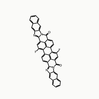 O=c1c2cc(F)c3c4ccc5c(=O)n6c7cc8ccccc8cc7nc6c6cc(F)c(c7ccc(c2c73)c2nc3cc7ccccc7cc3n12)c4c56